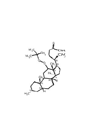 C[C@@H]1CC[C@]2(C)C3CC(OOC(C)(C)C)[C@]4(C)[C@@H]([C@H](C)CCC(=O)O)CC[C@H]4[C@@H]3CC[C@@H]2C1